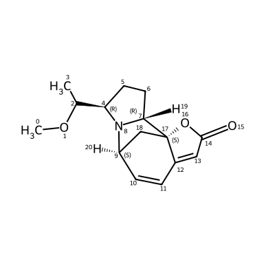 COC(C)[C@H]1CC[C@H]2N1[C@@H]1C=CC3=CC(=O)O[C@@]32C1